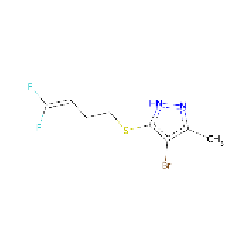 Cc1n[nH]c(SCCC=C(F)F)c1Br